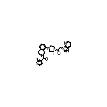 C[C@@H]1CN(c2cccc3c2CN(C(=O)c2ccnn2C)CC3)CCN1C(=O)Cn1cnc2cccnc21